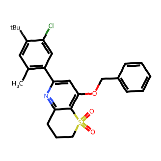 Cc1cc(C(C)(C)C)c(Cl)cc1-c1cc(OCc2ccccc2)c2c(n1)CCCS2(=O)=O